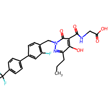 CCCc1nn(Cc2ccc(-c3ccc(C(F)(F)F)cc3)cc2F)c(=O)c(C(=O)NCC(=O)O)c1O